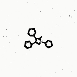 Cc1c(-c2ccccc2)c(-c2ccccc2)cn1-c1ccccc1